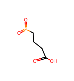 O=C(O)CCCP(=O)=O